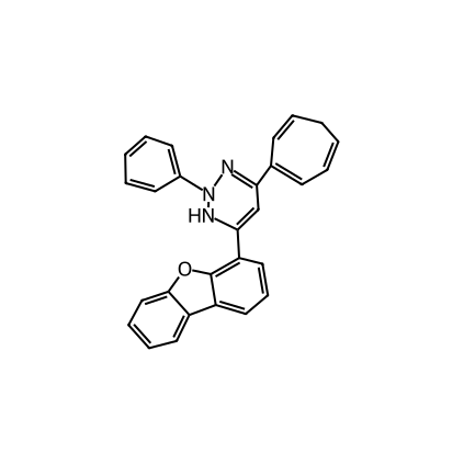 C1=CCC=CC(C2=NN(c3ccccc3)NC(c3cccc4c3oc3ccccc34)=C2)=C1